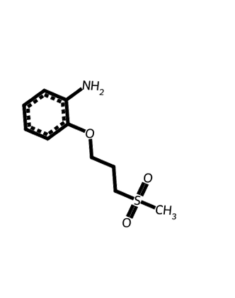 CS(=O)(=O)CCCOc1ccccc1N